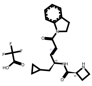 O=C(N[C@H](/C=C/C(=O)N1CCc2ccccc21)CC1CC1)[C@@H]1CCN1.O=C(O)C(F)(F)F